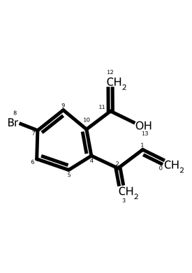 C=CC(=C)c1ccc(Br)cc1C(=C)O